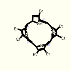 CCC1=C(CC)C2/C=c3\[nH]/c(c(CC)c3CC)=C\C3C=C(Br)/C(=C/c4[nH]c(c(CC)c4CC)/C=C/1N2)N3